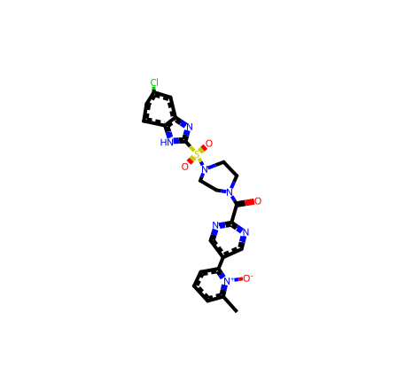 Cc1cccc(-c2cnc(C(=O)N3CCN(S(=O)(=O)c4nc5cc(Cl)ccc5[nH]4)CC3)nc2)[n+]1[O-]